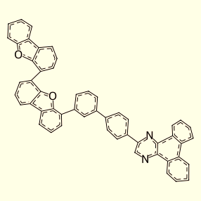 c1cc(-c2ccc(-c3cnc4c5ccccc5c5ccccc5c4n3)cc2)cc(-c2cccc3c2oc2c(-c4cccc5c4oc4ccccc45)cccc23)c1